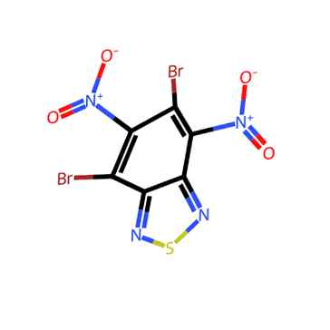 O=[N+]([O-])c1c(Br)c([N+](=O)[O-])c2nsnc2c1Br